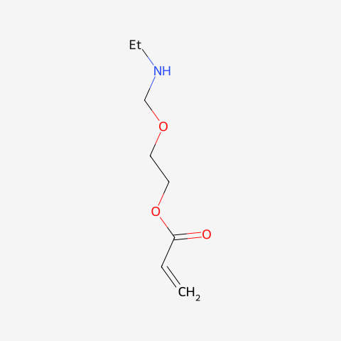 C=CC(=O)OCCOCNCC